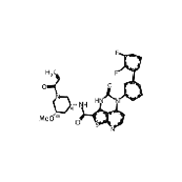 C=CC(=O)N1C[C@H](NC(=O)c2sc3nccc4c3c2NC(=O)N4c2cccc(-c3cccc(F)c3F)c2)C[C@H](OC)C1